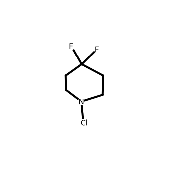 FC1(F)CCN(Cl)CC1